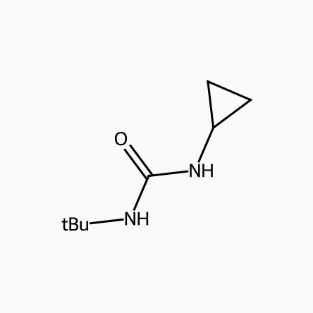 CC(C)(C)NC(=O)NC1CC1